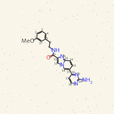 COc1cccc(CCNC(=O)c2cn3cc(-c4ccnc(N)n4)ccc3n2)c1